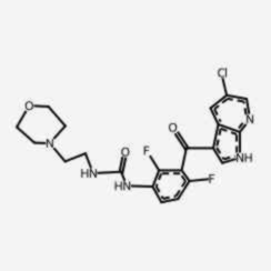 O=C(NCCN1CCOCC1)Nc1ccc(F)c(C(=O)c2c[nH]c3ncc(Cl)cc23)c1F